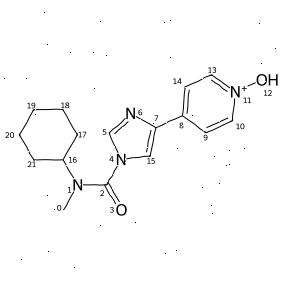 CN(C(=O)n1cnc(-c2cc[n+](O)cc2)c1)C1CCCCC1